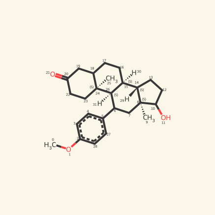 COc1ccc(C2C[C@]3(C)C(O)CC[C@H]3[C@@H]3CCC4CC(=O)CC[C@]4(C)[C@H]23)cc1